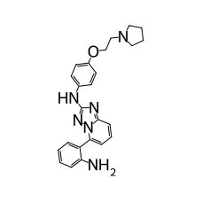 Nc1ccccc1-c1cccc2nc(Nc3ccc(OCCN4CCCC4)cc3)nn12